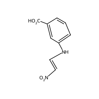 O=C(O)c1cccc(NC=C[N+](=O)[O-])c1